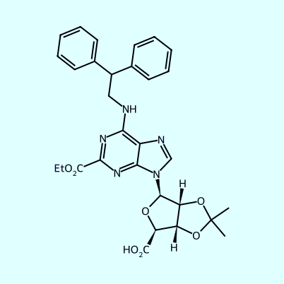 CCOC(=O)c1nc(NCC(c2ccccc2)c2ccccc2)c2ncn([C@@H]3O[C@H](C(=O)O)[C@H]4OC(C)(C)O[C@H]43)c2n1